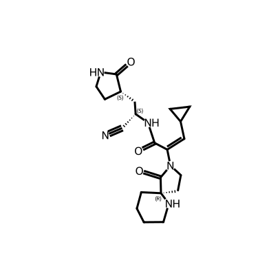 N#C[C@H](C[C@@H]1CCNC1=O)NC(=O)C(=CC1CC1)N1CC[C@]2(CCCCN2)C1=O